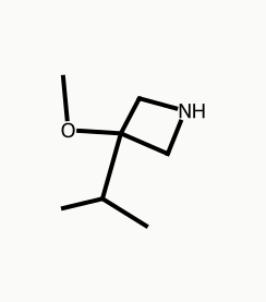 COC1(C(C)C)CNC1